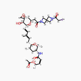 CC(=O)O[C@@H](C)/C=C\C(=O)N[C@@H]1C[C@H](C)[C@H](C/C=C(C)/C=C/[C@H]2O[C@H](CC(=O)N3CC4(CN(C(=O)CI)C4)C3)C[C@@]3(CO3)[C@@H]2O)O[C@@H]1C